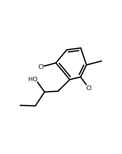 CCC(O)Cc1c(Cl)ccc(C)c1Cl